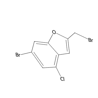 Clc1cc(Br)cc2oc(CBr)cc12